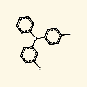 Cc1ccc(N(c2ccccc2)c2cccc(Cl)c2)cc1